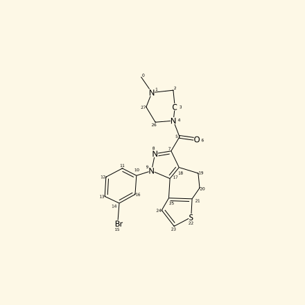 CN1CCN(C(=O)c2nn(-c3cccc(Br)c3)c3c2CCc2sccc2-3)CC1